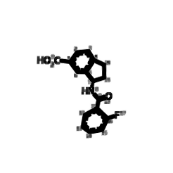 O=C(O)c1ccc2c(c1)[C@H](NC(=O)c1ccccc1F)CC2